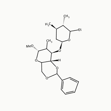 CCC1O[C@@H](O[C@@H]2C(C)[C@@H](OC)OC3COC(c4ccccc4)O[C@H]32)C[C@@H](C)[C@@H]1C